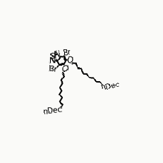 CCCCCCCCCCCCCCCCCCCCOc1c(OCCCCCCCCCCCCCCCCCCCC)c(Br)c2nsnc2c1Br